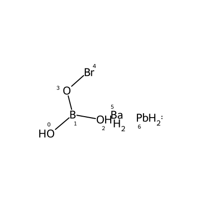 OB(O)OBr.[BaH2].[PbH2]